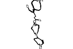 O=CC(CCC(=O)ON1CCN(C2CCNCC2)CC1)C1CCNCC1